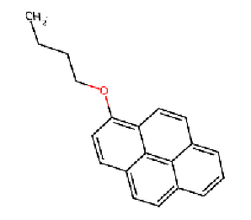 [CH2]CCCOc1ccc2ccc3cccc4ccc1c2c34